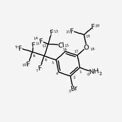 Nc1c(Br)cc(C(F)(C(F)(F)F)C(F)(F)Cl)cc1OC(F)F